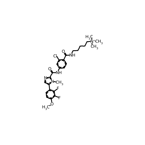 COc1ccc(-c2cnc(C(=O)Nc3ccc(C(=O)NCCCCC[N+](C)(C)C)c(Cl)c3)n2C)c(F)c1F